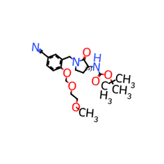 COCCOCOc1ccc(C#N)cc1CN1CC[C@H](NC(=O)OC(C)(C)C)C1=O